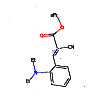 CCCOC(=O)/C(C#N)=C/c1ccccc1N(CC)CC